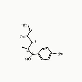 C[C@@H](NC(=O)OC(C)(C)C)[C@@H](O)c1ccc(C(C)(C)C)cc1